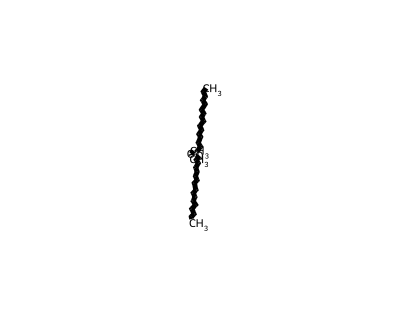 CCCCCCCCCCCCCCCCOCCCCCCCCCCCCCCCC.COC